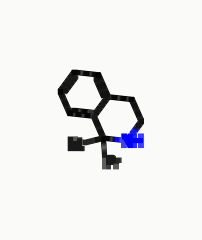 CCC1(C(C)C)NCCc2ccccc21